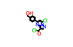 O=C(Cl)c1cnn2c(Cl)cc(-c3ccc(CO)cc3)nc12